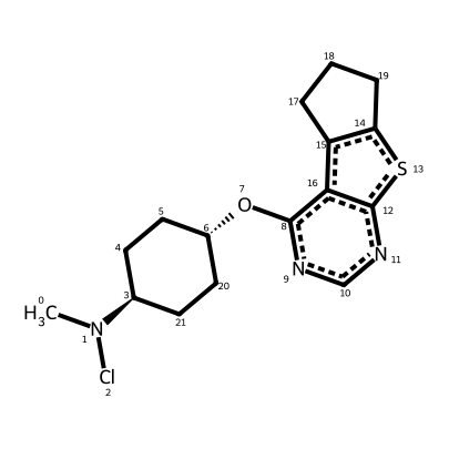 CN(Cl)[C@H]1CC[C@H](Oc2ncnc3sc4c(c23)CCC4)CC1